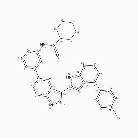 O=C(Nc1cncc(-c2ccc3[nH]nc(-c4cc5c(-c6ccc(F)cc6)ccnc5[nH]4)c3c2)c1)C1CCCCC1